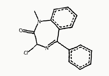 CN1C(=O)C(Cl)N=C(c2ccccc2)c2ccccc21